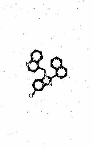 Clc1ccc2c(c1)nc(-c1cccc3ccccc13)n2Cc1ccnc2ccccc12